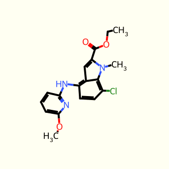 CCOC(=O)c1cc2c(Nc3cccc(OC)n3)ccc(Cl)c2n1C